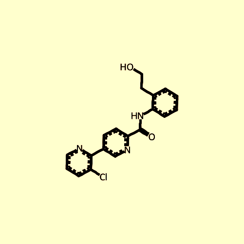 O=C(Nc1ccccc1CCO)c1ccc(-c2ncccc2Cl)cn1